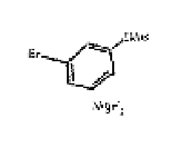 CSc1cccc(Br)c1.[MgH2]